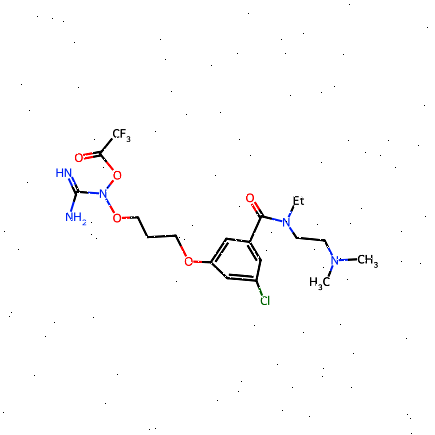 CCN(CCN(C)C)C(=O)c1cc(Cl)cc(OCCCON(OC(=O)C(F)(F)F)C(=N)N)c1